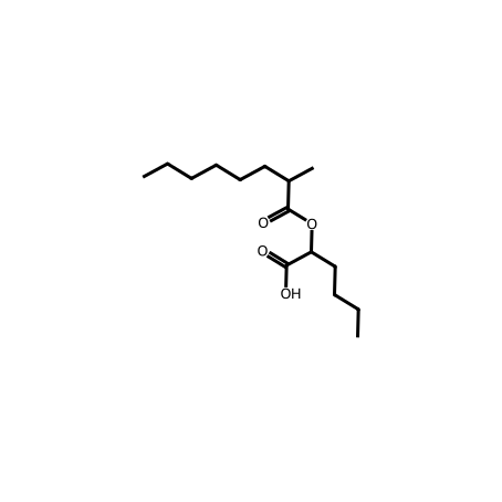 CCCCCCC(C)C(=O)OC(CCCC)C(=O)O